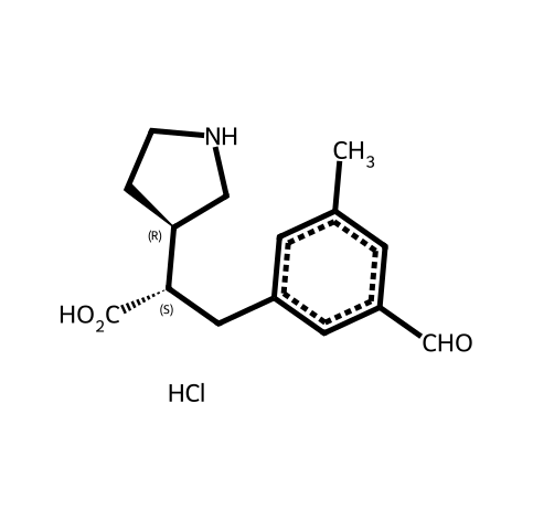 Cc1cc(C=O)cc(C[C@H](C(=O)O)[C@H]2CCNC2)c1.Cl